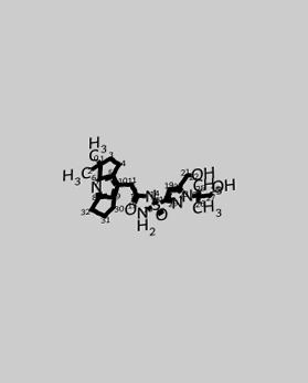 CC1(C)CCc2c1nc1c(c2CC(=O)N=S(N)(=O)c2cc(CO)n(C(C)(C)CO)n2)CCC1